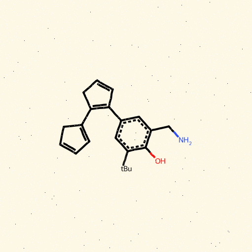 CC(C)(C)c1cc(C2=C(C3=CC=CC3)CC=C2)cc(CN)c1O